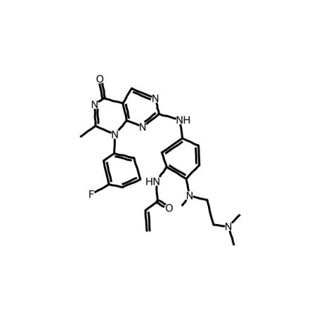 C=CC(=O)Nc1cc(Nc2ncc3c(=O)nc(C)n(-c4cccc(F)c4)c3n2)ccc1N(C)CCN(C)C